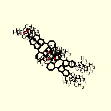 CC(C)C1=CC2=C(C=CC=CC2c2ccc3cc(O[Si](C)(C)C(C)(C)C)ccc3c2)[C]12[SiH](C)[C]1(C(C(C)C)=CC3=C1C=CC=CC3c1ccc3cc(O[Si](C)(C)C(C)(C)C)ccc3c1)[Zr]21([Cl])([Cl])[C]2(C(C(C)C)=CC3=C2C=CC=CC3c2ccc3cc(O[Si](C)(C)C(C)(C)C)ccc3c2)[SiH](C)[C]12C(C(C)C)=CC1=C2C=CC=CC1c1ccc2cc(O[Si](C)(C)C(C)(C)C)ccc2c1